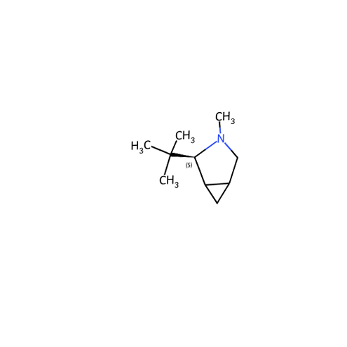 CN1CC2CC2[C@H]1C(C)(C)C